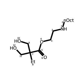 CCCCCCCCNCCOC(=O)C(CC)(CO)CO